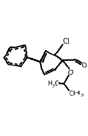 CC(C)OC1(C=O)C=CC(c2ccccc2)=CC1Cl